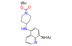 CC(=O)Nc1ccc(NC2CCN(C(=O)OC(C)(C)C)CC2)c2cccnc12